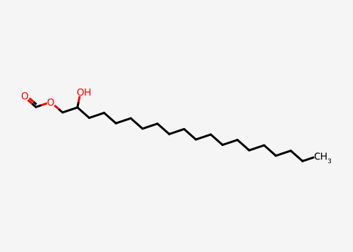 CCCCCCCCCCCCCCCCCCC(O)COC=O